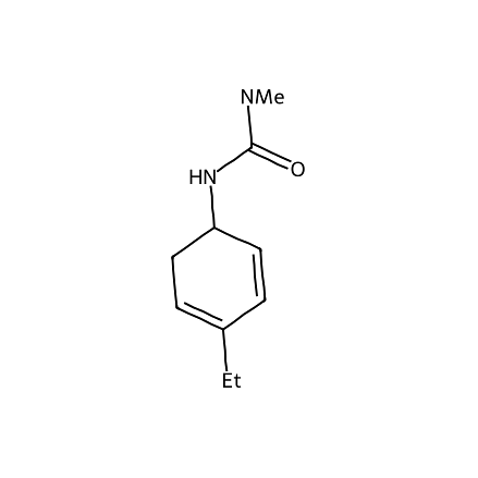 CCC1=CCC(NC(=O)NC)C=C1